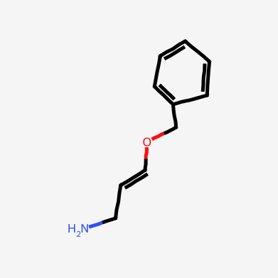 NCC=COCc1ccccc1